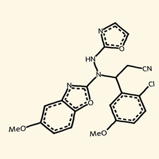 COc1ccc(Cl)c(C(CC#N)N(Nc2ncco2)c2nc3cc(OC)ccc3o2)c1